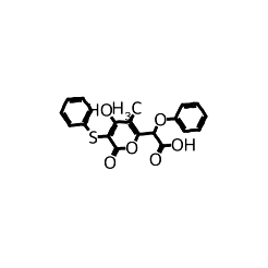 Cc1c(C(Oc2ccccc2)C(=O)O)oc(=O)c(Sc2ccccc2)c1O